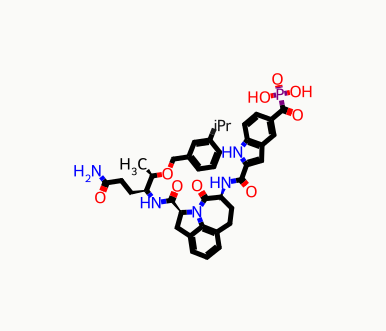 CC(C)c1cccc(CO[C@H](C)[C@H](CCC(N)=O)NC(=O)[C@@H]2Cc3cccc4c3N2C(=O)[C@@H](NC(=O)c2cc3cc(C(=O)P(=O)(O)O)ccc3[nH]2)CC4)c1